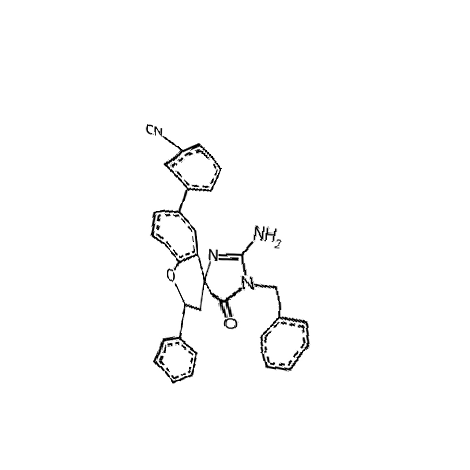 [C-]#[N+]c1cccc(-c2ccc3c(c2)C2(CC(c4ccccc4)O3)N=C(N)N(Cc3ccccc3)C2=O)c1